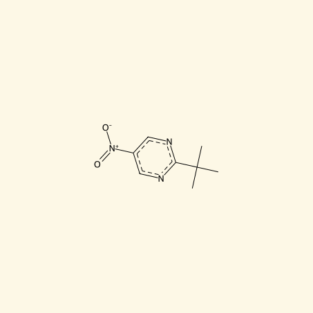 CC(C)(C)c1ncc([N+](=O)[O-])cn1